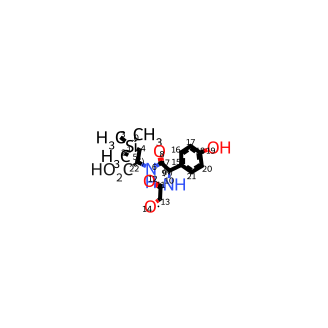 C[Si](C)(C)C[C@@H](NC(=O)[C@H](NC(=O)C[O])c1ccc(O)cc1)C(=O)O